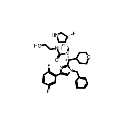 O=C(NCCO)N(C[C@@H]1CNC[C@@H]1F)[C@@H](c1nc(-c2cc(F)ccc2F)cn1Cc1ccccc1)C1CCOCC1